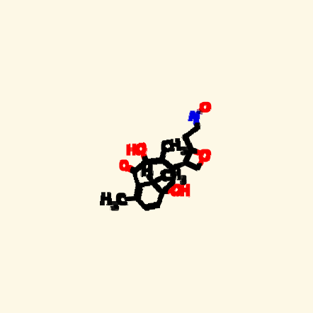 CC1=C2C(=O)/C(O)=C(/C)C([C@@H]3COC3CCN=O)C[C@](O)(C=C1)[C@H]2C